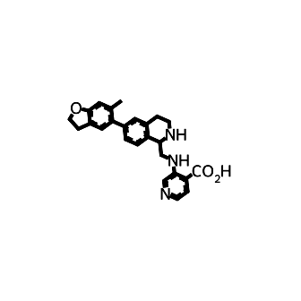 Cc1cc2c(cc1-c1ccc3c(c1)CCNC3CNc1cnccc1C(=O)O)CCO2